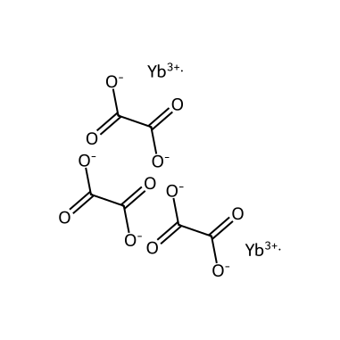 O=C([O-])C(=O)[O-].O=C([O-])C(=O)[O-].O=C([O-])C(=O)[O-].[Yb+3].[Yb+3]